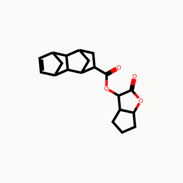 O=C(OC1C(=O)OC2CCCC21)C1CC2CC1C1C3C=CC(C3)C21